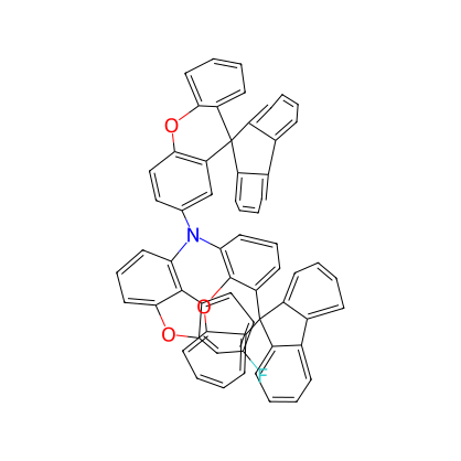 Fc1ccc2c(c1)oc1cccc(N(c3ccc4c(c3)C3(c5ccccc5O4)c4ccccc4-c4ccccc43)c3cccc4c3Oc3ccccc3C43c4ccccc4-c4ccccc43)c12